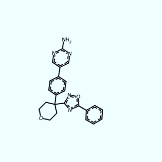 Nc1ncc(-c2ccc(C3(c4noc(-c5ccccc5)n4)CCOCC3)cc2)cn1